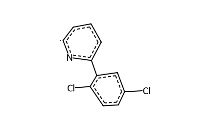 Clc1ccc(Cl)c(-c2ccc[c]n2)c1